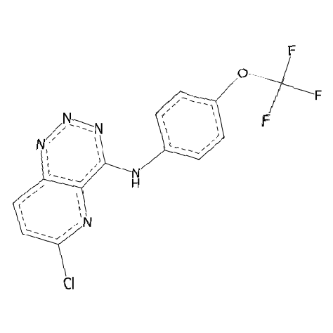 FC(F)(F)Oc1ccc(Nc2nnnc3ccc(Cl)nc23)cc1